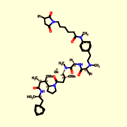 CC[C@H](C)[C@@H]([C@@H](CC(=O)N1CCC[C@H]1[C@H](OC)[C@@H](C)C(=O)N[C@@H](Cc1ccccc1)C(=O)O)OC)N(C)C(=O)[C@@H](NC(=O)[C@H](C(C)C)N(C)CCc1ccc(N(C)C(=O)CCCCCN2C(=O)CC(C(C)C)C2=O)cc1)C(C)C